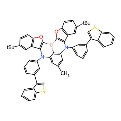 Cc1cc2c3c(c1)N(c1cccc(-c4csc5ccccc45)c1)c1c(oc4ccc(C(C)(C)C)cc14)B3c1oc3ccc(C(C)(C)C)cc3c1N2c1cccc(-c2csc3ccccc23)c1